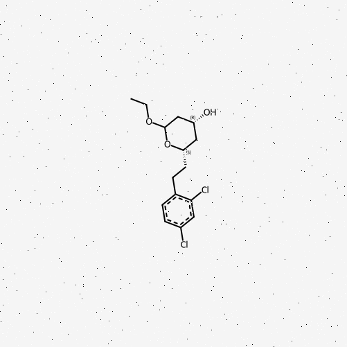 CCOC1C[C@H](O)C[C@H](CCc2ccc(Cl)cc2Cl)O1